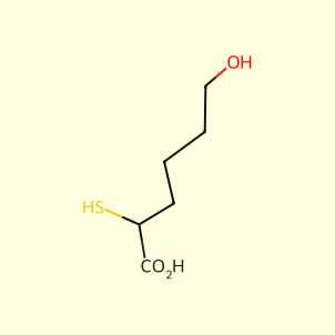 O=C(O)C(S)CCCCO